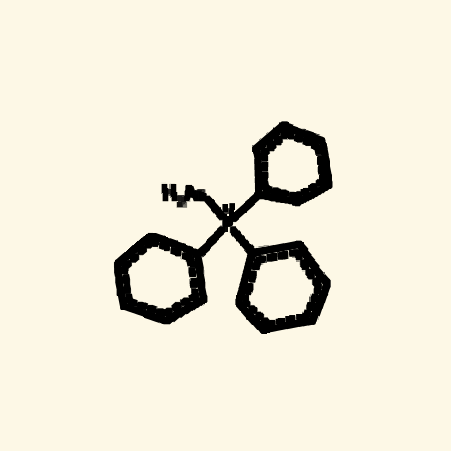 [AsH2][PH](c1ccccc1)(c1ccccc1)c1ccccc1